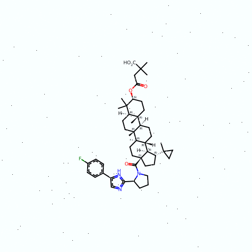 CC(C)(CC(=O)O[C@H]1CC[C@]2(C)[C@H]3CC[C@@H]4[C@H]5[C@H](C6(C)CC6)CC[C@]5(C(=O)N5CCCC5c5ncc(-c6ccc(F)cc6)[nH]5)CC[C@@]4(C)[C@]3(C)CC[C@H]2C1(C)C)C(=O)O